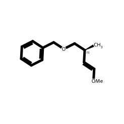 COC=C[C@H](C)COCc1ccccc1